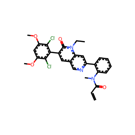 C=CC(=O)N(C)c1ccccc1-c1cc2c(cn1)cc(-c1c(Cl)c(OC)cc(OC)c1Cl)c(=O)n2CC